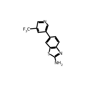 Nc1nc2ccc(-c3cncc(C(F)(F)F)c3)cc2s1